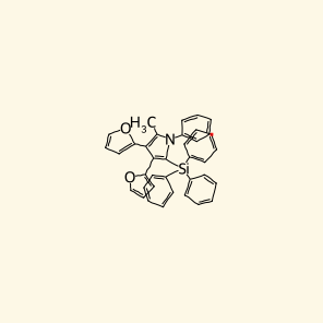 Cc1c(-c2ccco2)c(-c2ccco2)c([Si](c2ccccc2)(c2ccccc2)c2ccccc2)n1-c1ccccc1